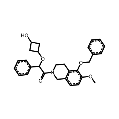 COc1ccc2c(c1OCc1ccccc1)CCN(C(=O)C(OC1CC(O)C1)c1ccccc1)C2